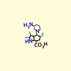 Cc1[nH]c2c(C(=O)O)cc(F)c(N3CCCC(N)C3)c2c1C